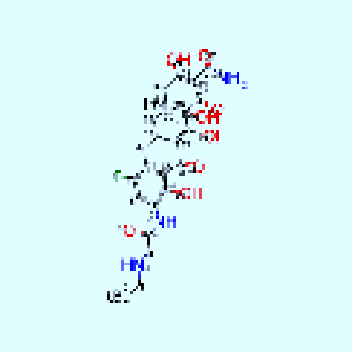 CC(C)(C)CNCC(=O)Nc1cc(F)c2c(c1O)C(=O)C1=C(O)[C@]3(O)C(=O)C(C(N)=O)=C(O)C[C@@H]3CC1C2